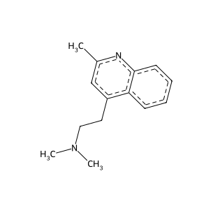 Cc1cc(CCN(C)C)c2ccccc2n1